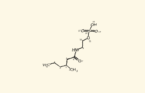 CCCC(C)CC(=O)NCCOS(=O)(=O)O